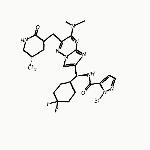 CCn1nccc1C(=O)N[C@H](c1cn2nc(CC3C[C@H](C(F)(F)F)CNC3=O)c(N(C)C)nc2n1)C1CCC(F)(F)CC1